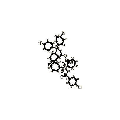 CC(CC(c1ccc(F)cc1)(c1ccc(F)cc1)c1ccc(F)cc1)OB(O)OS(=O)(CC(=O)c1ccc(Cl)cc1)(c1ccccc1)c1ccccc1